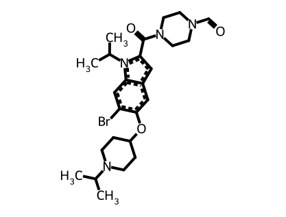 CC(C)N1CCC(Oc2cc3cc(C(=O)N4CCN(C=O)CC4)n(C(C)C)c3cc2Br)CC1